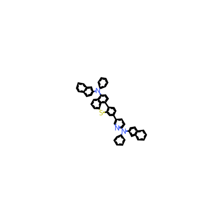 c1ccc(N(c2ccc3ccccc3c2)c2ccc(-c3ccc4c(c3)Sc3cccc5c(N(c6ccccc6)c6ccc7ccccc7c6)ccc-4c35)cn2)cc1